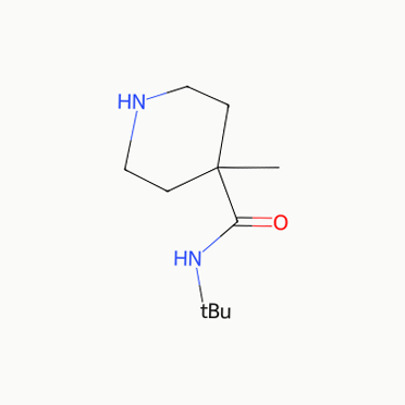 CC(C)(C)NC(=O)C1(C)CCNCC1